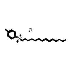 CCCCCCCCCCCCCC[N+](C)(C)c1ccc(C)cc1.[Cl-]